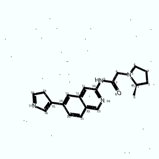 C[C@@H]1CCCN1CC(=O)Nc1cc2cc(C3=CN=CC3)ccc2cn1